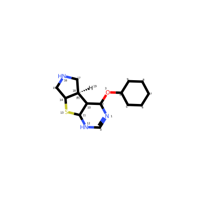 C1=NC(OC2CCCCC2)C2C(N1)SC1CNC[C@H]12